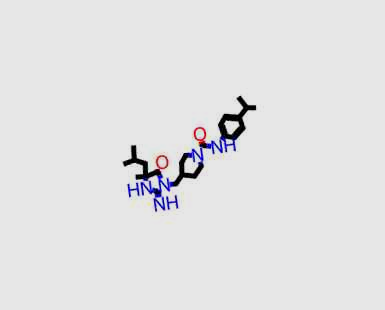 CC(C)CC1(C)NC(=N)N(CC2CCN(C(=O)Nc3ccc(C(C)C)cc3)CC2)C1=O